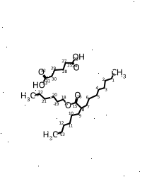 CCCCCCCCC(CCCCCC)C(=O)OCCCCCC.O=C(O)CCCCC(=O)O